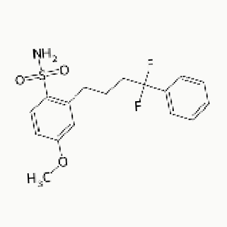 COc1ccc(S(N)(=O)=O)c(CCCC(F)(F)c2ccccc2)c1